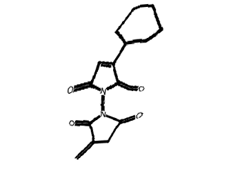 C=C1CC(=O)N(N2C(=O)C=C(C3CCCCC3)C2=O)C1=O